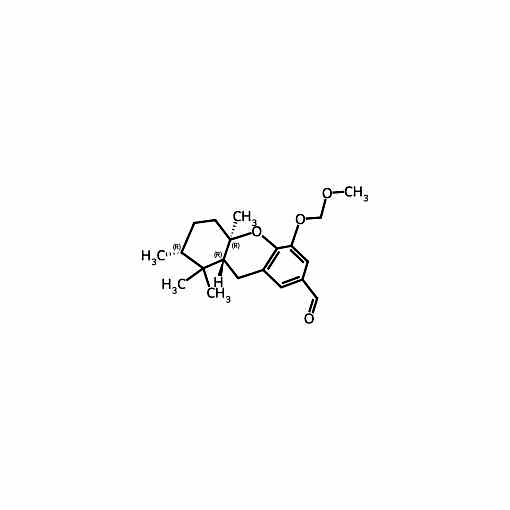 COCOc1cc(C=O)cc2c1O[C@]1(C)CC[C@@H](C)C(C)(C)[C@H]1C2